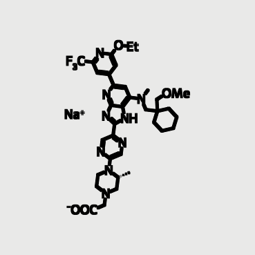 CCOc1cc(-c2cc(N(C)CC3(COC)CCCCC3)c3[nH]c(-c4cnc(N5CCN(CC(=O)[O-])C[C@H]5C)cn4)nc3n2)cc(C(F)(F)F)n1.[Na+]